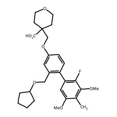 COc1cc(-c2ccc(OCC3(C(=O)O)CCOCC3)cc2COC2CCCC2)c(F)c(OC)c1C